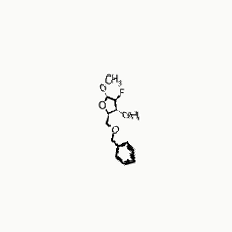 CO[C@H]1O[C@H](COCc2ccccc2)[C@@H](O)[C@@H]1F